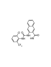 [NH]C(=O)c1cc2ccccc2cc1NC(=O)Nc1c(Cl)cccc1C(F)(F)F